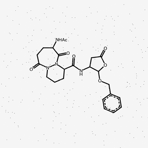 CC(=O)NC1CCC(=O)N2CCCC(C(=O)NC3CC(=O)OC3OCc3ccccc3)N2C1=O